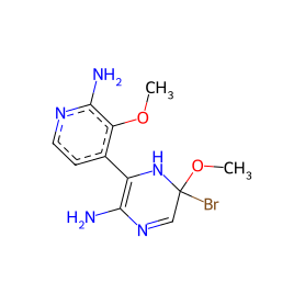 COc1c(C2=C(N)N=CC(Br)(OC)N2)ccnc1N